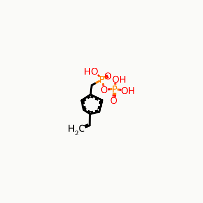 C=Cc1ccc(CP(=O)(O)OP(=O)(O)O)cc1